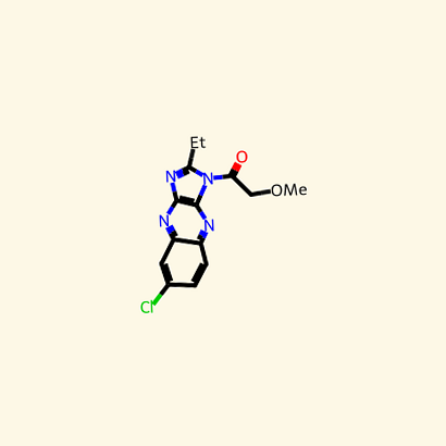 CCc1nc2nc3cc(Cl)ccc3nc2n1C(=O)COC